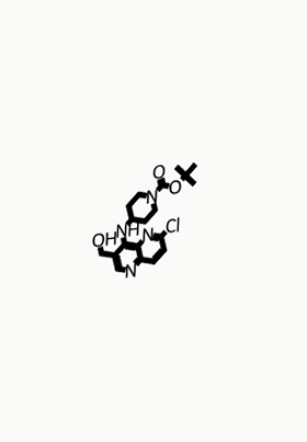 CC(C)(C)OC(=O)N1CCC(Nc2c(CO)cnc3ccc(Cl)nc23)CC1